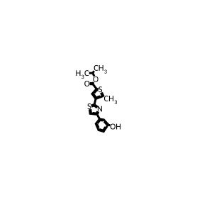 Cc1sc(C(=O)OC(C)C)cc1-c1nc(-c2cccc(O)c2)cs1